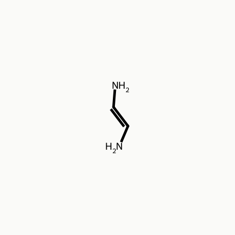 NC=CN